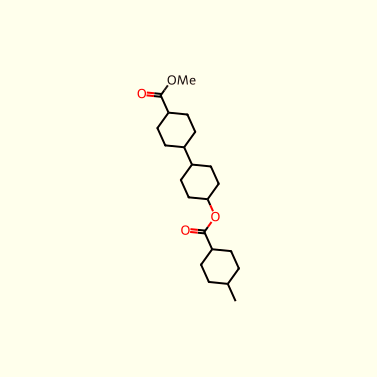 COC(=O)C1CCC(C2CCC(OC(=O)C3CCC(C)CC3)CC2)CC1